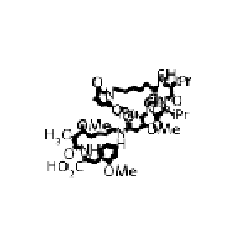 CC[C@H](C)C(C(CC(=O)NCCCCC(OC)[C@@H](C)C(=O)N[C@@H](Cc1ccccc1OC)C(=O)O)OC)N(C)C(=O)[C@@H](NC(=O)C(C(C)C)N(C)C(=O)CCCCCN1C(=O)C=CC1=O)C(C)C